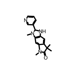 CN1C(=O)C(C)(C)c2cc3c(cc21)N(C)C(c1cccnc1)N3